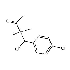 CC(=O)C(C)(C)C(Cl)c1ccc(Cl)cc1